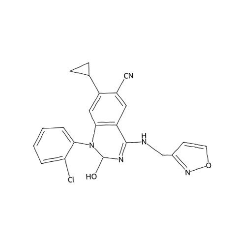 N#Cc1cc2c(cc1C1CC1)N(c1ccccc1Cl)C(O)N=C2NCc1ccon1